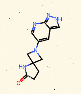 O=C1CCC2(CN(c3cnc4n[nH]cc4c3)C2)N1